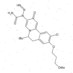 COCCCOc1cc2c(cc1Cl)-c1cc(=O)c(N(N=N)C(N)=O)cn1C(C(C)(C)C)C2